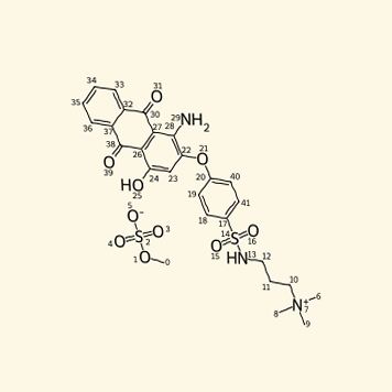 COS(=O)(=O)[O-].C[N+](C)(C)CCCNS(=O)(=O)c1ccc(Oc2cc(O)c3c(c2N)C(=O)c2ccccc2C3=O)cc1